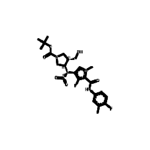 Cc1cc(NC(=O)c2c(F)c(N([C@H]3CN(C(=O)OC(C)(C)C)C[C@@H]3CO)[SH](=O)=O)cn2C)ccc1F